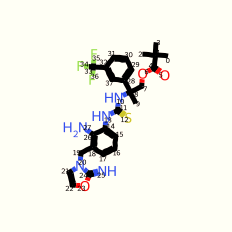 CC(C)(C)C(=O)OCC(C)(NC(=S)Nc1cccc(Cn2ccoc2=N)c1N)c1cccc(C(F)(F)F)c1